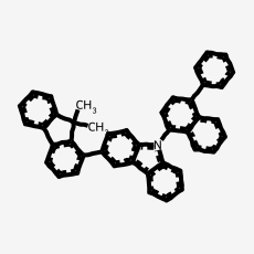 CC1(C)c2ccccc2-c2cccc(-c3ccc4c(c3)c3ccccc3n4-c3ccc(-c4ccccc4)c4ccccc34)c21